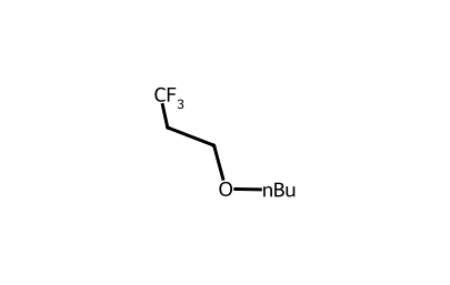 CCCCOCCC(F)(F)F